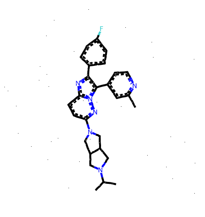 Cc1cc(-c2c(-c3ccc(F)cc3)nc3ccc(N4CC5CN(C(C)C)CC5C4)nn23)ccn1